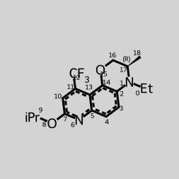 CCN1c2ccc3nc(OC(C)C)cc(C(F)(F)F)c3c2OC[C@H]1C